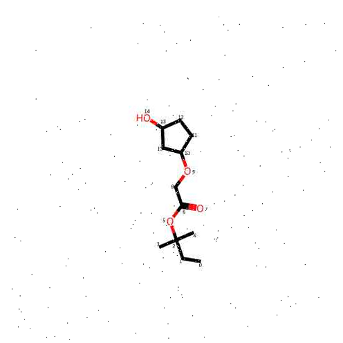 CCC(C)(C)OC(=O)COC1CCC(O)C1